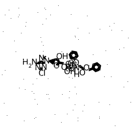 Nc1nc(Cl)nc2c1ncn2C1C2OC(COP(=O)(O)OP(=O)(NCC(=O)OCc3ccccc3)Oc3ccccc3)C(O)C21